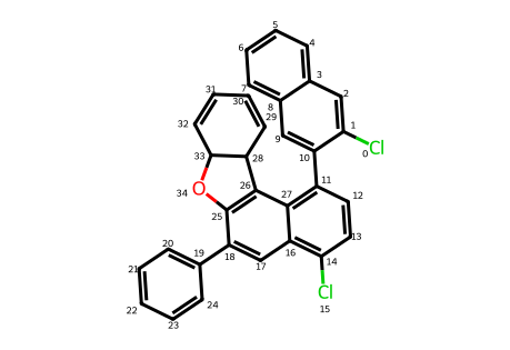 Clc1cc2ccccc2cc1-c1ccc(Cl)c2cc(-c3ccccc3)c3c(c12)C1C=CC=CC1O3